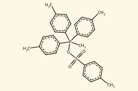 Cc1ccc(S(=O)(=O)OP(C)(c2ccc(C)cc2)(c2ccc(C)cc2)c2ccc(C)cc2)cc1